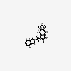 CC1=C(C(C)(C)C2=Cc3ccccc3C2)C2=CC3OCOC3=CC2=C1